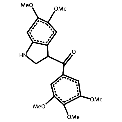 COc1cc2c(cc1OC)C(C(=O)c1cc(OC)c(OC)c(OC)c1)CN2